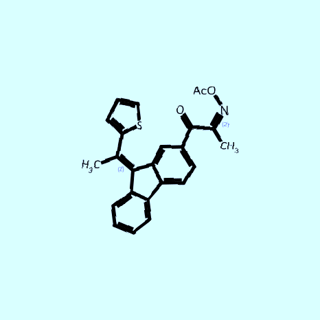 CC(=O)O/N=C(/C)C(=O)c1ccc2c(c1)/C(=C(/C)c1cccs1)c1ccccc1-2